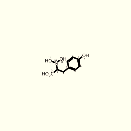 O=C(O)C(Cc1ccc(O)cc1)N(O)O